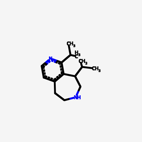 CC(C)c1nccc2c1C(C(C)C)CNCC2